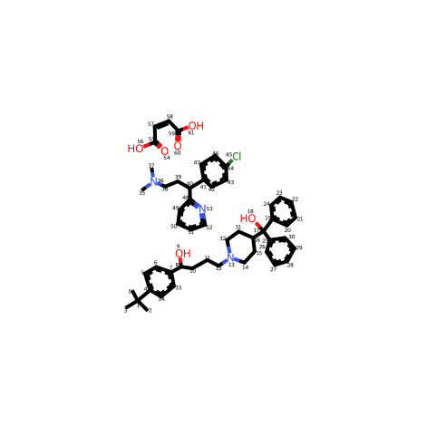 CC(C)(C)c1ccc(C(O)CCCN2CCC(C(O)(c3ccccc3)c3ccccc3)CC2)cc1.CN(C)CCC(c1ccc(Cl)cc1)c1ccccn1.O=C(O)/C=C\C(=O)O